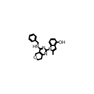 Cc1cc2c(O)cccc2n1-c1nc2c(c(NCc3ccccc3)n1)COCC2